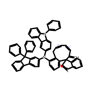 C=C1/C=C\C=C/Cc2c(N(c3ccc4c(c3)C(c3ccccc3)(c3ccccc3)c3ccccc3-4)c3ccc4c(c3)c3ccccc3n4-c3ccccc3)cccc2C12c1ccccc1-c1ccccc12